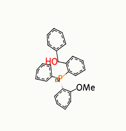 COc1ccccc1[P@](c1ccccc1)c1ccccc1C(O)c1ccccc1